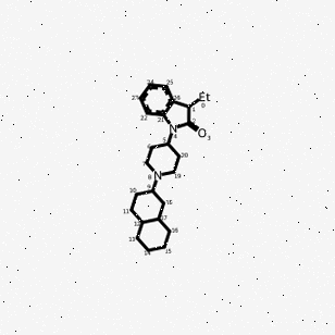 CCC1C(=O)N(C2CCN(C3CCC4CCCCC4C3)CC2)c2ccccc21